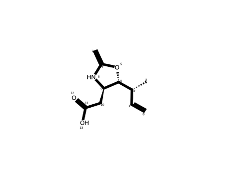 C=C[C@@H](C)[C@H]1OC(=C)N[C@@H]1CC(=O)O